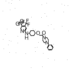 O=C(CO[C@H]1CC[C@H](Nc2cc(C(F)(F)F)c([N+](=O)[O-])cn2)CC1)N1CCN(c2ccccc2)CC1